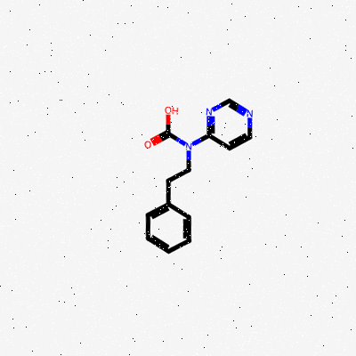 O=C(O)N(CCc1ccccc1)c1ccncn1